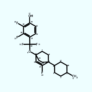 CC1CCC(C23CCC(OC(F)(F)c4ccc(O)c(F)c4F)(C=C2F)CC3)CC1